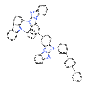 c1ccc(-c2ccc(-c3cccc(-n4c5ccc(-c6ccc7c(c6)n6c8ccccc8nc6n7-c6cccc7c8ccccc8n(-c8ccccc8)c67)cc5n5c6ccccc6nc45)c3)cc2)cc1